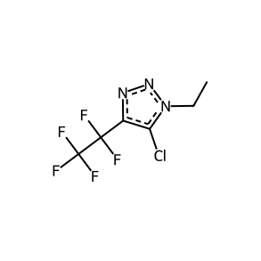 CCn1nnc(C(F)(F)C(F)(F)F)c1Cl